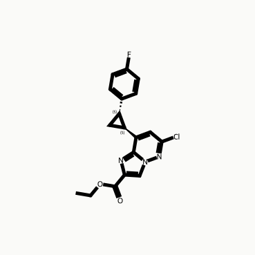 CCOC(=O)c1cn2nc(Cl)cc([C@H]3C[C@@H]3c3ccc(F)cc3)c2n1